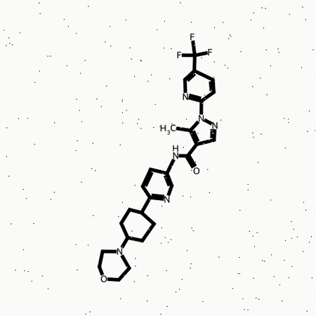 Cc1c(C(=O)Nc2ccc(C3CCC(N4CCOCC4)CC3)nc2)cnn1-c1ccc(C(F)(F)F)cn1